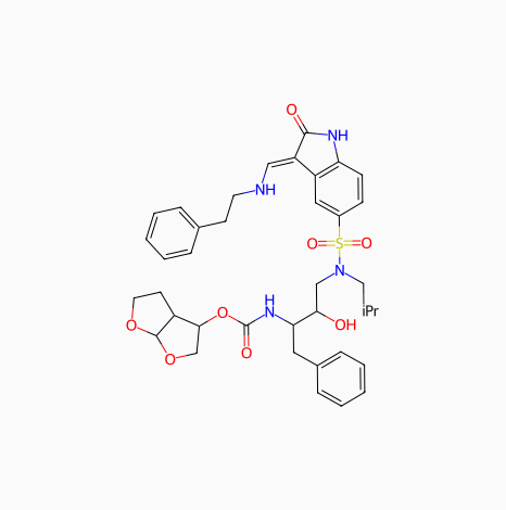 CC(C)CN(CC(O)C(Cc1ccccc1)NC(=O)OC1COC2OCCC12)S(=O)(=O)c1ccc2c(c1)/C(=C\NCCc1ccccc1)C(=O)N2